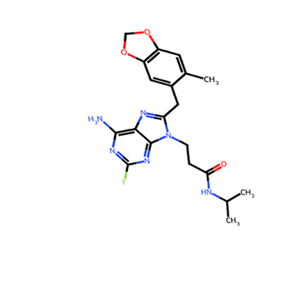 Cc1cc2c(cc1Cc1nc3c(N)nc(F)nc3n1CCC(=O)NC(C)C)OCO2